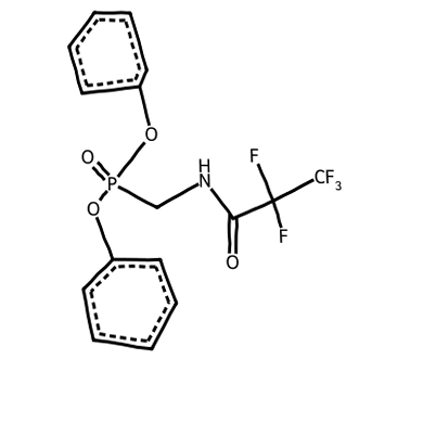 O=C(NCP(=O)(Oc1ccccc1)Oc1ccccc1)C(F)(F)C(F)(F)F